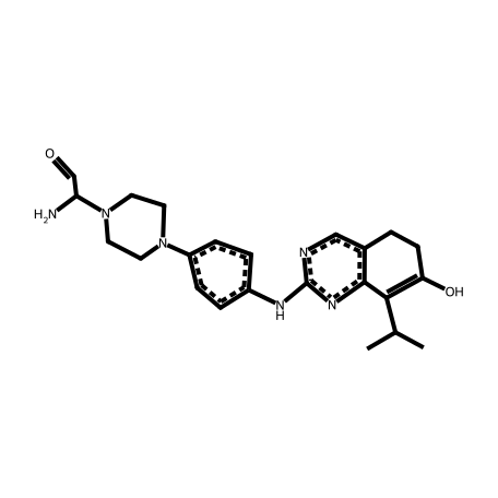 CC(C)C1=C(O)CCc2cnc(Nc3ccc(N4CCN(C(N)C=O)CC4)cc3)nc21